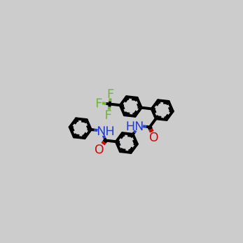 O=C(Nc1ccccc1)c1cccc(NC(=O)c2ccccc2-c2ccc(C(F)(F)F)cc2)c1